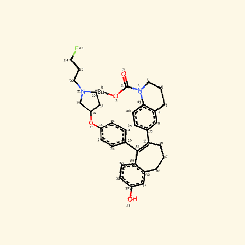 CC(C)(C)OC(=O)N1CCCc2cc(C3=C(c4ccc(OC5CCN(CCCF)C5)cc4)c4ccc(O)cc4CCC3)ccc21